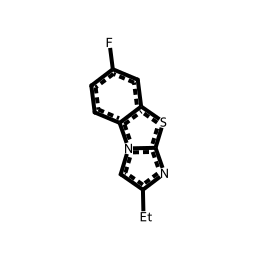 [CH2]Cc1cn2c(n1)sc1cc(F)ccc12